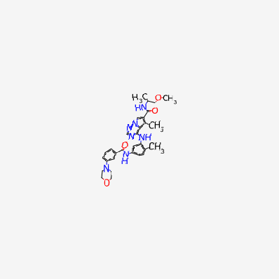 COCC(C)NC(=O)c1cn2ncnc(Nc3cc(NC(=O)c4cccc(N5CCOCC5)c4)ccc3C)c2c1C